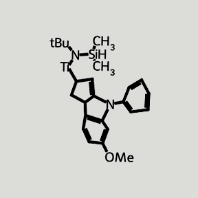 COc1ccc2c(c1)N(c1ccccc1)C1=C[CH]([Ti][N]([SiH](C)C)C(C)(C)C)CC12